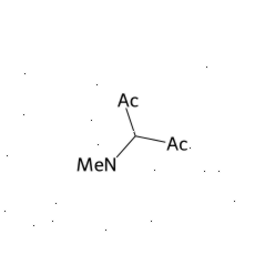 CNC(C(C)=O)C(C)=O